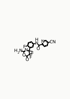 C[C@]1(c2cc(NC(=O)c3ccc(C#N)cn3)ccc2F)N=C(N)OC(=O)C1(F)F